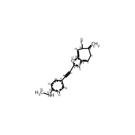 C=C1CC=c2nc(C#Cc3ccc(NC)nc3)oc2=CC1F